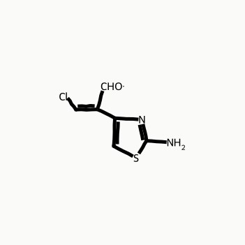 Nc1nc(/C([C]=O)=C/Cl)cs1